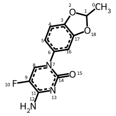 CC1Oc2ccc(-n3cc(F)c(N)nc3=O)cc2O1